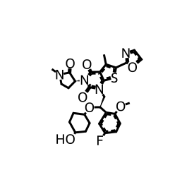 COc1ccc(F)cc1[C@H](Cn1c(=O)n([C@@H]2CCN(C)C2=O)c(=O)c2c(C)c(-c3ncco3)sc21)OC1CCC(O)CC1